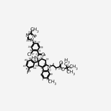 Cc1ccc2c3c(n(CCC(=O)OC(C)(C)C)c2c1)CCC(NC(=O)c1ccc(-n2cnc(C)n2)cc1Cl)(c1cccc(F)c1)C3